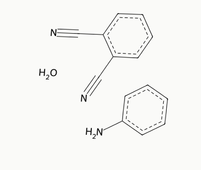 N#Cc1ccccc1C#N.Nc1ccccc1.O